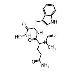 CN(C=O)[C@@H](CCC(N)=O)C(=O)N[C@@H](Cc1c[nH]c2ccccc12)C(=O)NO